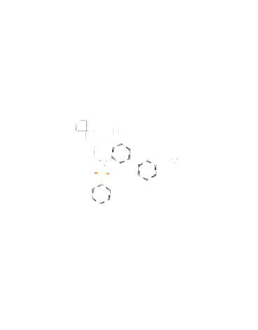 COc1cc(F)cc(-c2ccc3c(c2)N(S(=O)(=O)c2cccc(C(F)(F)F)c2)C[C@H](CC2(C(=O)O)COC2)O3)c1F